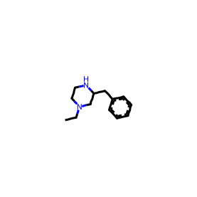 CCN1CCNC(Cc2ccccc2)C1